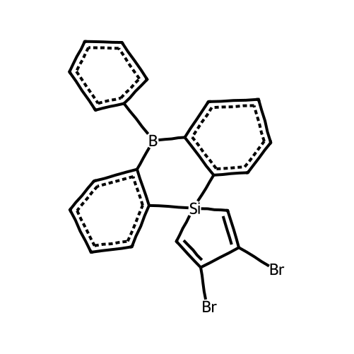 BrC1=C[Si]2(C=C1Br)c1ccccc1B(c1ccccc1)c1ccccc12